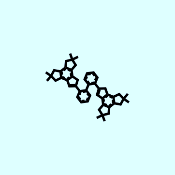 CC1(C)Cc2c3c(c4c(c2C1)CC(C)(C)C4)CC(c1ccccc1-c1ccccc1C1=Cc2c4c(c5c(c2C1)CC(C)(C)C5)CC(C)(C)C4)=C3